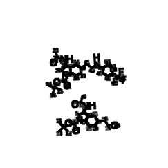 CC(=O)Nc1cn(C(=O)OC(C)(C)C)c2ccc(CC=O)cc12.CC(=O)Nc1cn(C(=O)OC(C)(C)C)c2ccc(CCNc3ccc(C(F)(F)F)nc3)cc12